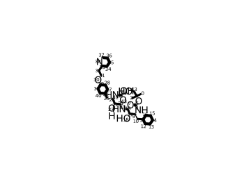 CC(C)(CO)OC(=O)N[C@@H](Cc1ccccc1)C(O)CNC[C@@H](O)[C@H](Cc1ccc(OCCc2ccccn2)cc1)NC(=O)O